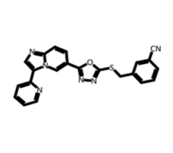 N#Cc1cccc(CSc2nnc(-c3ccc4ncc(-c5ccccn5)n4c3)o2)c1